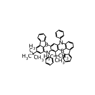 CC(C)(C)c1cc2c3c(c1)N(c1ccccc1)c1c(cc4c(c1C(C)(C)C)B1c5ccccc5-c5cccc(c51)N4c1ccccc1)B3c1ccccc1-2